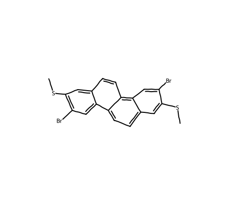 CSc1cc2ccc3c4cc(Br)c(SC)cc4ccc3c2cc1Br